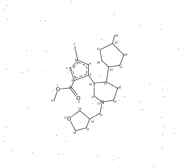 COC(=O)c1sc(I)cc1C1CN(CC2CCOC2)CCC1C1CCC(C)CC1